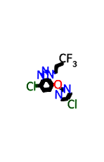 FC(F)(F)CCCn1nnc2c(Cl)ccc(Oc3ncc(Cl)cn3)c21